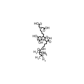 CC(C)(C)CC(C)(C)C(=O)NCCCCC(NC(=O)C(CCCCN(CC(=O)O)CC(=O)O)N(CC(=O)O)CC(=O)O)C(=O)O